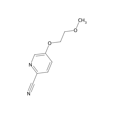 COCCOc1ccc(C#N)nc1